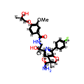 COc1cc(C(=O)NC[C@](O)(c2cc3c(c(-c4ccc(F)cc4)n2)OC[C@]3(C)C(N)=O)C(F)(F)F)ccc1OC[C@@H](C)O